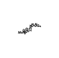 CNC(=O)c1c(F)cnc2c(CCNc3cc(-c4ccc(OCC5CC5)nc4)ncn3)cccc12